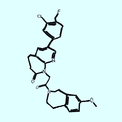 COc1ccc2c(c1)CN(C(=O)CN1C(=O)CCc3cc(-c4ccc(F)c(Cl)c4)cnc31)CC2